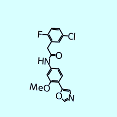 COc1cc(NC(=O)Cc2cc(Cl)ccc2F)ccc1-c1cnco1